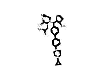 Cc1ccsc1[C@H](c1ccc(-c2ccc(N3CCN(C4CC4)CC3)cc2)cc1)N(CC#N)[C@@H](CC(C)C)C(N)=O